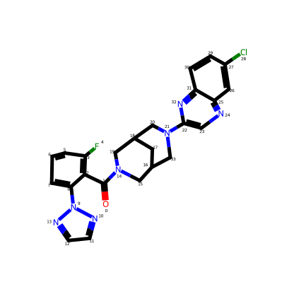 O=C(c1c(F)cccc1-n1nccn1)N1CC2CC(C1)CN(c1cnc3cc(Cl)ccc3n1)C2